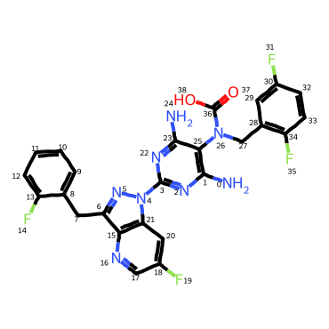 Nc1nc(-n2nc(Cc3ccccc3F)c3ncc(F)cc32)nc(N)c1N(Cc1cc(F)ccc1F)C(=O)O